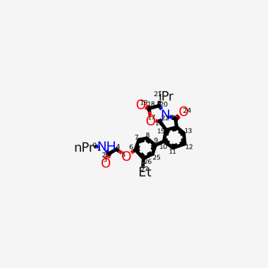 CCCNC(=O)COc1ccc(-c2cccc3c2C2OC(=O)C(C(C)C)N2C3=O)cc1CC